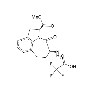 COC(=O)[C@@H]1Cc2cccc3c2N1C(=O)[C@@H](N)CC3.O=C(O)C(F)(F)F